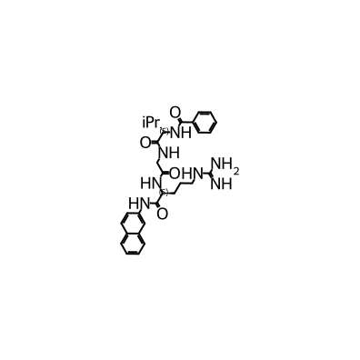 CC(C)[C@H](NC(=O)c1ccccc1)C(=O)NCC(=O)N[C@@H](CCCNC(=N)N)C(=O)Nc1ccc2ccccc2c1